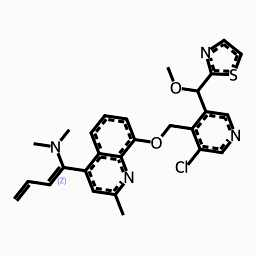 C=C/C=C(/c1cc(C)nc2c(OCc3c(Cl)cncc3C(OC)c3nccs3)cccc12)N(C)C